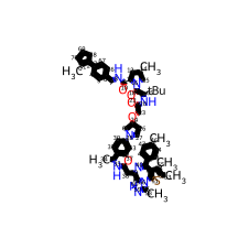 CC1=C(c2ccc(CNC(=O)[C@@H]3CC(C)CN3C(=O)[C@@H](NC(=O)COC3CCN(c4ccc(C(C)NC(=O)CC5N=C(c6ccc(C)cc6)c6c(sc(C)c6C)-n6c(C)nnc65)cc4)C3)C(C)(C)C)cc2)CC=C1